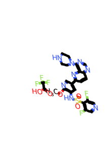 COc1ncc(-c2ccc3ncnc(N4CCNCC4)c3n2)cc1NS(=O)(=O)c1c(F)cncc1F.O=C(O)C(F)(F)F